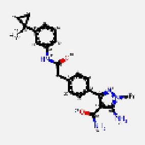 CC(C)n1nc(-c2ccc(CC(=O)Nc3cccc(C4(C)CC4)c3)cc2)c(C(N)=O)c1N